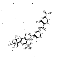 O=C(Nc1c(I)cc(C(F)(C(F)(F)F)C(F)(F)F)cc1C(F)(F)F)c1cccc(NC(=O)c2ccc([N+](=O)[O-])cc2Cl)c1